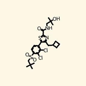 CC(C)(C)CS(=O)(=O)c1ccc(-c2sc(C(=O)NCC(C)(C)O)nc2CC2CCC2)c(Cl)c1Cl